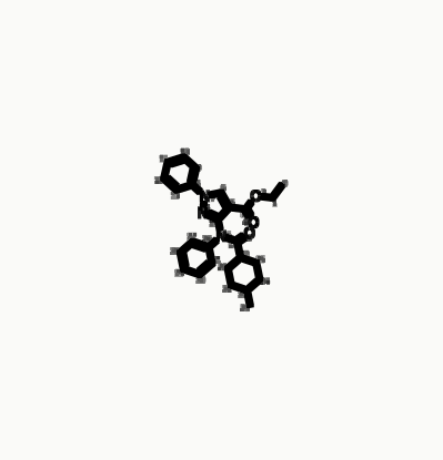 CCOC(=O)c1cn(-c2ccccc2)nc1N(C(=O)C1CCC(C)CC1)c1ccccc1